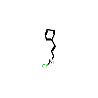 [Cl][Ni][CH2]C=Cc1ccccc1